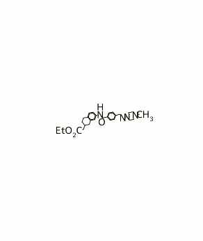 CCOC(=O)CC1CCc2ccc(NC(=O)c3ccc(C=NN4CCN(C)CC4)cc3)cc2C1